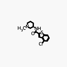 CN1CCC[C@@H](NC(=O)c2cc3c(Cl)cccc3s2)C1